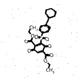 CCOC(=O)C1=CC(=O)C(C(=O)OCC)=C(S(=O)(=O)c2ccc(C3CCCCC3)cc2)C1=O